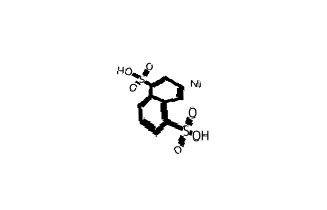 O=S(=O)(O)c1cccc2c(S(=O)(=O)O)cccc12.[Ni]